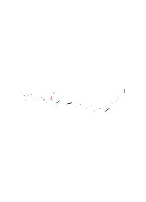 CCCCC/C=C\CCCCCC/C=C/C=C/C(=O)NCCCC(C)C